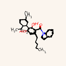 C=C(C)C1CCC(C)=CC1c1c(O)cc(CCCCC)c(C(=O)n2ccc3ccccc32)c1O